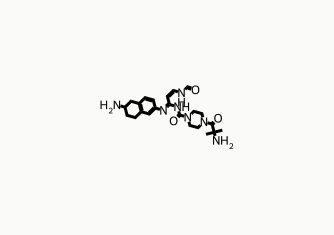 CC(C)(N)C(=O)N1CCN(C(=O)NC(/C=C\NC=O)=N/c2ccc3c(c2)CCC(N)C3)CC1